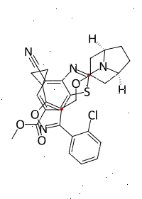 COC(=O)c1cc(C#N)c2nc(N3[C@@H]4CC[C@H]3CC(OCc3c(-c5ccccc5Cl)noc3C3CC3)C4)sc2c1